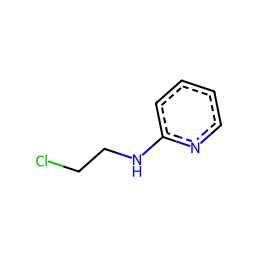 ClCCNc1ccccn1